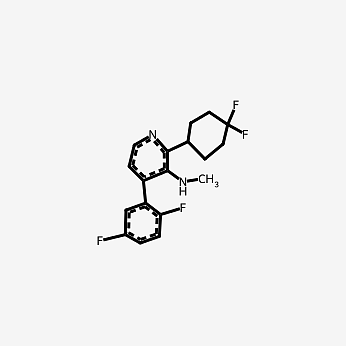 CNc1c(-c2cc(F)ccc2F)ccnc1C1CCC(F)(F)CC1